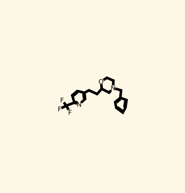 FC(F)(F)c1ccc([CH]CC2CN(Cc3ccccc3)CCO2)cn1